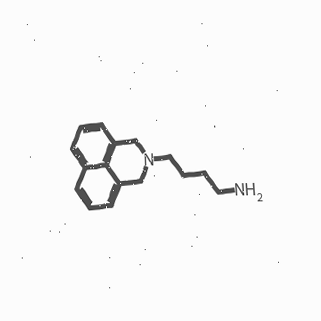 NCCCCN1Cc2cccc3cccc(c23)C1